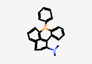 CN(C)c1ccccc1-c1ccccc1P(c1ccccc1)c1ccccc1